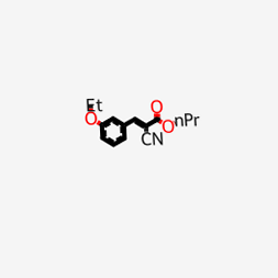 CCCOC(=O)/C(C#N)=C/c1cccc(OCC)c1